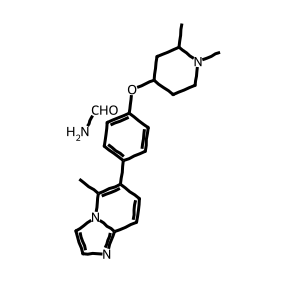 Cc1c(-c2ccc(OC3CCN(C)C(C)C3)cc2)ccc2nccn12.NC=O